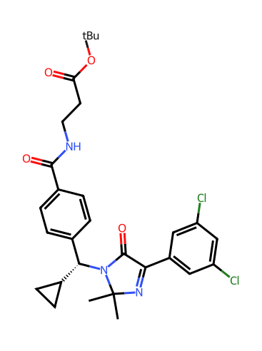 CC(C)(C)OC(=O)CCNC(=O)c1ccc([C@@H](C2CC2)N2C(=O)C(c3cc(Cl)cc(Cl)c3)=NC2(C)C)cc1